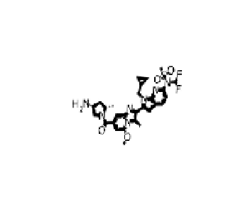 COc1cc(C(=O)N2C[C@H](N)C[C@@H]2C)cc2nc(-c3cc4ccc(N(C(F)F)S(C)(=O)=O)nc4n3CC3CC3)c(C)n12